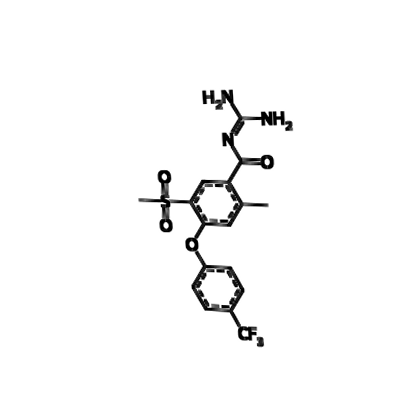 Cc1cc(Oc2ccc(C(F)(F)F)cc2)c(S(C)(=O)=O)cc1C(=O)N=C(N)N